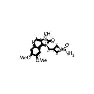 COc1cc2ncc3c(c2cc1OC)n(CC1CN([S+](N)[O-])C1)c(=O)n3C